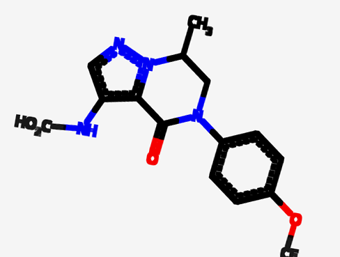 CC1CN(c2ccc(OC(F)(F)F)cc2)C(=O)c2c(NC(=O)O)cnn21